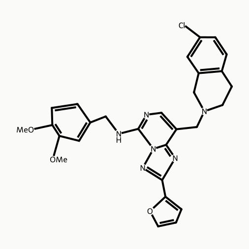 COc1ccc(CNc2ncc(CN3CCc4ccc(Cl)cc4C3)c3nc(-c4ccco4)nn23)cc1OC